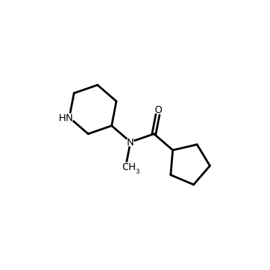 CN(C(=O)C1CCCC1)C1CCCNC1